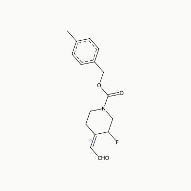 Cc1ccc(COC(=O)N2CC/C(=C/C=O)C(F)C2)cc1